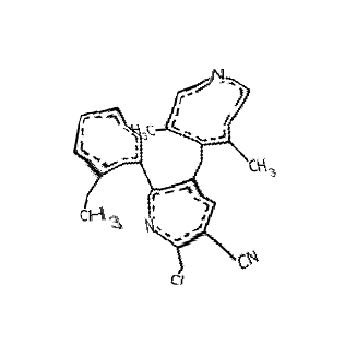 Cc1ccccc1-c1nc(Cl)c(C#N)cc1-c1c(C)cncc1C